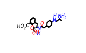 CC(N)CNC1CCC(CC(=O)NC2Cc3cccc(C(=O)O)c3OB2O)CC1